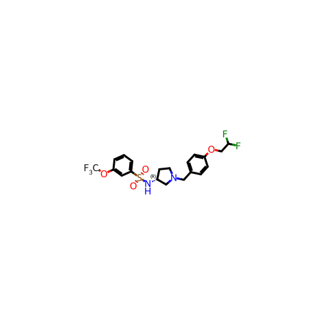 O=S(=O)(N[C@@H]1CCN(Cc2ccc(OCC(F)F)cc2)C1)c1cccc(OC(F)(F)F)c1